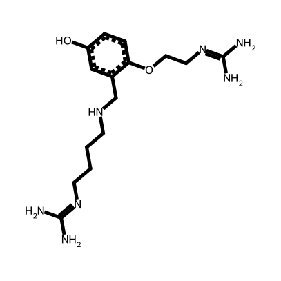 NC(N)=NCCCCNCc1cc(O)ccc1OCCN=C(N)N